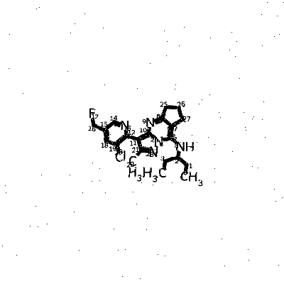 CCC(CC)Nc1c2c(nc3c(-c4ncc(CF)cc4Cl)c(C)nn13)CCC2